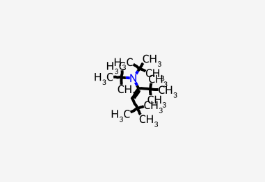 CC(C)(C)/C=C(/N(C(C)(C)C)C(C)(C)C)C(C)(C)C